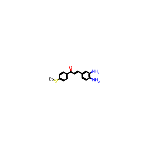 CCSc1ccc(C(=O)C=Cc2ccc(N)c(N)c2)cc1